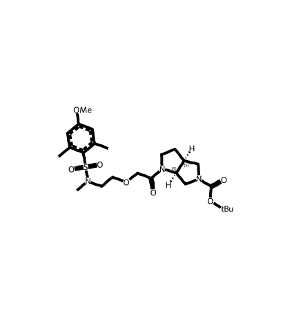 COc1cc(C)c(S(=O)(=O)N(C)CCOCC(=O)N2CC[C@H]3CN(C(=O)OC(C)(C)C)C[C@H]32)c(C)c1